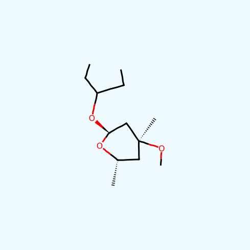 CCC(CC)O[C@H]1C[C@@](C)(OC)C[C@H](C)O1